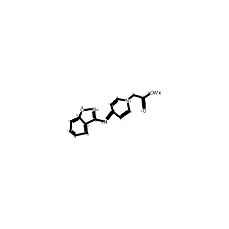 COC(=O)Cn1ccc(=Nc2noc3ccccc23)cc1